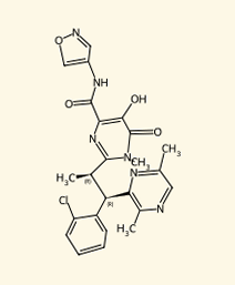 Cc1cnc(C)c([C@@H](c2ccccc2Cl)[C@@H](C)c2nc(C(=O)Nc3cnoc3)c(O)c(=O)n2C)n1